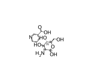 N[C@@H]1[C@@H](O)[C@H](O)[C@@H](CO)O[C@H]1O.O=C(O)c1cccnc1